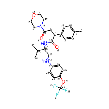 Cc1ccc(C(CC(=O)N2CCOCC2)C(=O)NC(CNc2ccc(OC(F)(F)F)cc2)C(C)C)cc1